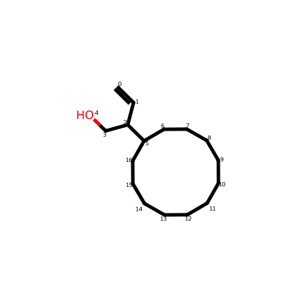 C=CC(CO)C1CCCCCCCCCCC1